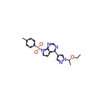 CCOC(C)n1cc(-c2ncnc3c2ccn3S(=O)(=O)c2ccc(C)cc2)cn1